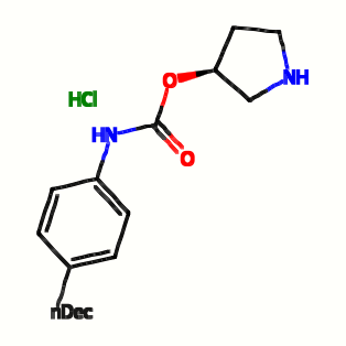 CCCCCCCCCCc1ccc(NC(=O)O[C@H]2CCNC2)cc1.Cl